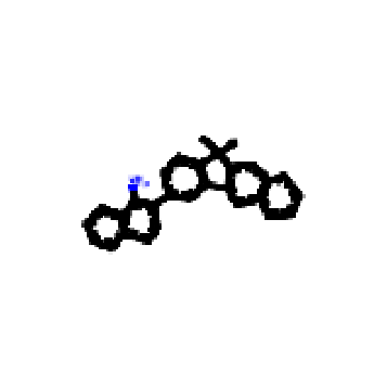 CC1(C)c2ccc(-c3ccc4ccccc4c3N)cc2-c2cc3ccccc3cc21